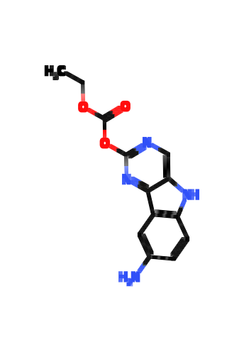 CCOC(=O)Oc1ncc2[nH]c3ccc(N)cc3c2n1